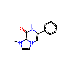 CN1C=CN2C=C(c3ccccc3)NC(=O)C12